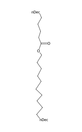 CCCCCCCCCCCCCCCCCCCCOC(=O)CCCCCCCCCCCCCC